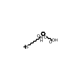 CC(C)(C)SCCCCCCCCC(=O)Nc1ccccc1OCCCC(=O)O